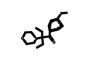 CCC(CC)(C(=O)c1ccc(SC)cc1)N1CCOCC1